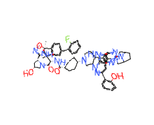 CC(C)(C)[C@H](NC(=O)[C@H]1CC[C@@H](N2CCC(c3cnc(N4C5CCC4CN(c4c[nH]c6nnc(-c7ccccc7O)cc46)C5)nc3)CC2)CC1)C(=O)N1C[C@H](O)C[C@H]1C1=NO[C@@](C)(c2ccc(-c3ccccc3F)cc2)N1